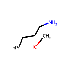 CCCCCCN.CO